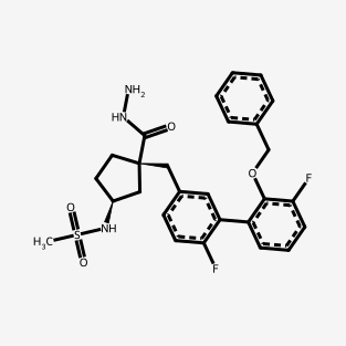 CS(=O)(=O)N[C@H]1CC[C@](Cc2ccc(F)c(-c3cccc(F)c3OCc3ccccc3)c2)(C(=O)NN)C1